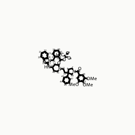 COc1cc(C(=O)N2CCC(CCN3CCC(Nc4nc5ccccc5n4Cc4ccccc4C(=O)OS(C)(=O)=O)CC3)(c3ccccc3)C2)cc(OC)c1OC